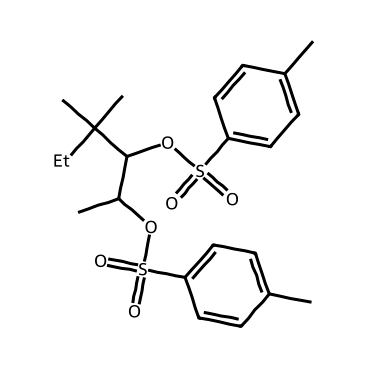 CCC(C)(C)C(OS(=O)(=O)c1ccc(C)cc1)C(C)OS(=O)(=O)c1ccc(C)cc1